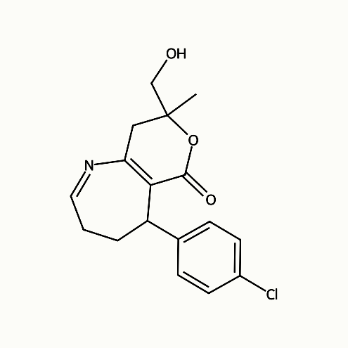 CC1(CO)CC2=C(C(=O)O1)C(c1ccc(Cl)cc1)CCC=N2